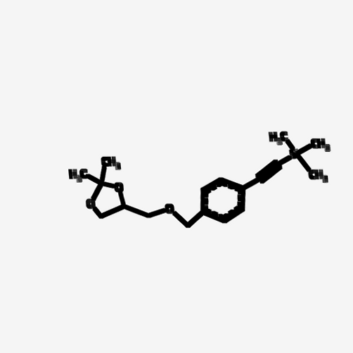 CC1(C)OCC(COCc2ccc(C#C[Si](C)(C)C)cc2)O1